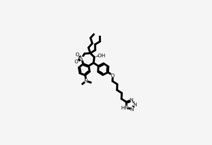 CCCCC1(CCCC)CS(=O)(=O)c2ccc(N(C)C)cc2C(c2ccc(OCCCCCc3nnn[nH]3)cc2)[C@H]1O